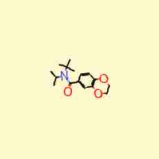 CC(C)N(C(=O)c1ccc2c(c1)OCCO2)C(C)(C)C